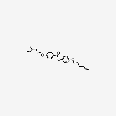 C=CCCCCOc1ccc(OC(=O)c2ccc(OCCCC(C)CC)cc2)cc1